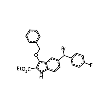 CCOC(=O)c1[nH]c2ccc(C(Br)c3ccc(F)cc3)cc2c1OCc1ccccc1